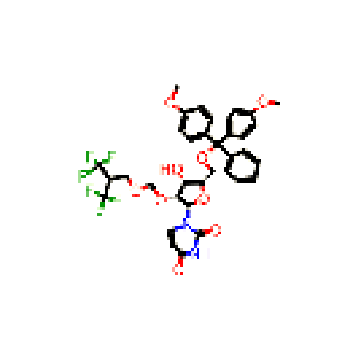 COc1ccc(C(OC[C@H]2O[C@@H](n3ccc(=O)[nH]c3=O)[C@H](OCOCC(C(F)(F)F)C(F)(F)F)[C@@H]2O)(c2ccccc2)c2ccc(OC)cc2)cc1